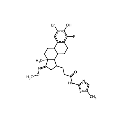 CO/N=C1\CC(CCC(=O)Nc2ncc(C)s2)C2C3CCc4c(cc(Br)c(O)c4F)C3CCC12C